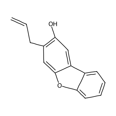 C=CCc1cc2oc3ccccc3c2cc1O